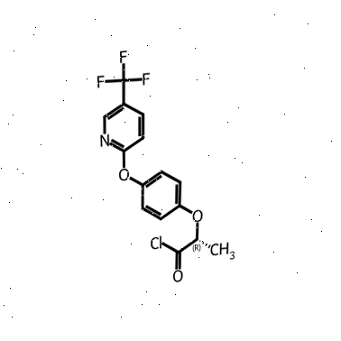 C[C@@H](Oc1ccc(Oc2ccc(C(F)(F)F)cn2)cc1)C(=O)Cl